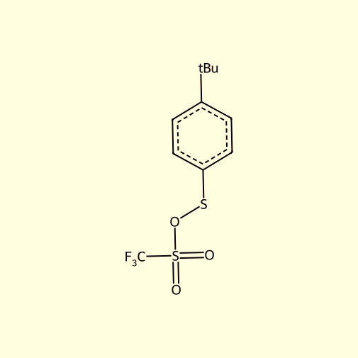 CC(C)(C)c1ccc(SOS(=O)(=O)C(F)(F)F)cc1